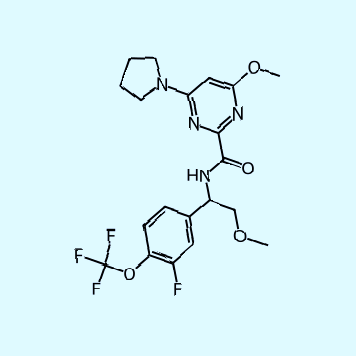 COCC(NC(=O)c1nc(OC)cc(N2CCCC2)n1)c1ccc(OC(F)(F)F)c(F)c1